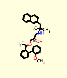 COc1ccccc1-c1ccccc1C(C)OC[C@H](O)CNC(C)(C)Cc1ccc2ccccc2c1